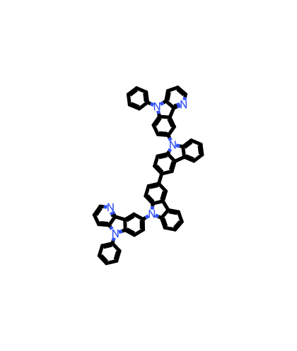 c1ccc(-n2c3ccc(-n4c5ccccc5c5cc(-c6ccc7c(c6)c6ccccc6n7-c6ccc7c(c6)c6ncccc6n7-c6ccccc6)ccc54)cc3c3ncccc32)cc1